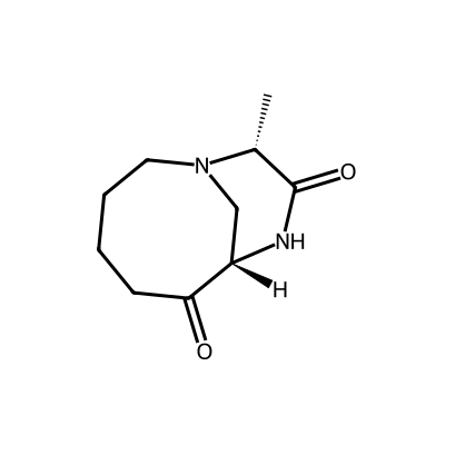 C[C@@H]1C(=O)N[C@H]2CN1CCCCC2=O